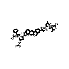 COC(=O)N[C@H](C(=O)N1[C@H](C)[C@H](C)C[C@H]1c1ncc(-c2ccc3c(c2)COc2cc4c(ccc5nc([C@@H]6C[C@H](COC(F)F)CN6C(=O)[C@H](NC(=O)OC)c6ccccc6)[nH]c54)cc2-3)[nH]1)C(C)C